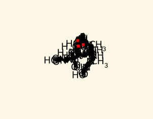 CCCOc1cc(N=Nc2ccc(N=Nc3ccccc3)cc2S(=O)(=O)O)c(C)cc1Nc1nc(NCc2ccc(CNc3nc(Cc4ccc(N=Nc5ccc(N=Nc6ccccc6)cc5S(=O)(=O)O)c(C)c4)nc(Cc4cc(NC(C)=O)c(N=Nc5ccc(N=Nc6ccc(S(=O)(=O)O)cc6)cc5)cc4OCCCS(=O)(=O)O)n3)cc2)nc(Nc2ccc(N=Nc3ccc(N=Nc4ccc(S(=O)(=O)O)cc4)cc3)c(C)c2)n1